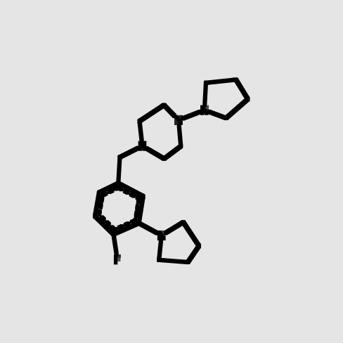 Fc1ccc(CN2CCN(N3CCCC3)CC2)cc1N1CCCC1